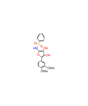 COc1ccc(-c2oc(NS(=O)(=O)c3ccccc3)c(O)c2O)cc1OC